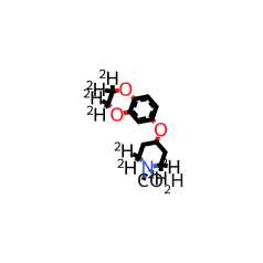 [2H]C1([2H])CC(Oc2ccc3c(c2)OC([2H])([2H])C([2H])([2H])O3)CC([2H])([2H])N1C(=O)O